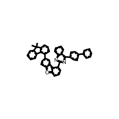 CC1(C)c2ccccc2-c2c(-c3ccc4oc5cccc(-c6nc(-c7ccc(-c8ccccc8)cc7)c7ccccc7n6)c5c4c3)cccc21